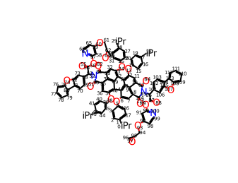 CC(C)c1ccc(Oc2cc3c4c(cc(Oc5ccc(C(C)C)cc5)c5c6c(Oc7ccc(C(C)C)cc7)cc7c8c(cc(Oc9ccc(C(C)C)cc9)c(c2c45)c86)C(=O)N(C(C(=O)Oc2cc(OCC4CO4)ccn2)c2ccc4c(c2)oc2ccccc24)C7=O)C(=O)N(C(C(=O)Oc2cc(OCC4CO4)ccn2)c2ccc4c(c2)oc2ccccc24)C3=O)cc1